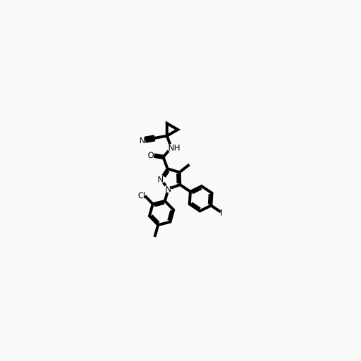 Cc1ccc(-n2nc(C(=O)NC3(C#N)CC3)c(C)c2-c2ccc(I)cc2)c(Cl)c1